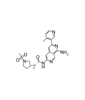 Cc1ccncc1-c1cc2cc(NC(=O)[C@@H]3C[C@@]34CCN(S(C)(=O)=O)C4)ncc2c(N)n1